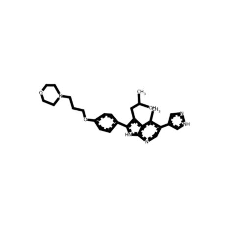 Cc1c(-c2cn[nH]c2)cnc2[nH]c(-c3ccc(OCCCN4CCOCC4)cc3)c(CC(C)O)c12